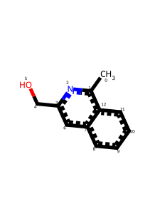 Cc1nc(CO)cc2ccccc12